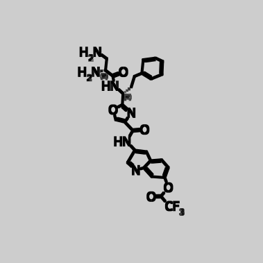 NC[C@@H](N)C(=O)N[C@H](CCc1ccccc1)c1nc(C(=O)Nc2cnc3cc(OC(=O)C(F)(F)F)ccc3c2)co1